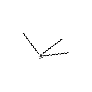 CCCCCCCCCCCCCCCCCCOP(=O)(CCCCCCCCCCCCCCCCCC)OCCCCCCCCCCCCCCCCCC